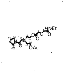 CCNC(=O)COCC(=O)OCCN(CCOC(C)=O)CC(=O)N1CCSC1=S